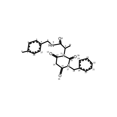 Cc1ccc(CNC(=O)C(C)N2C(=O)CC(=O)N(Cc3ccccc3)C2=O)cc1